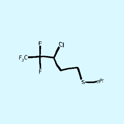 CCCSCCC(Cl)C(F)(F)C(F)(F)F